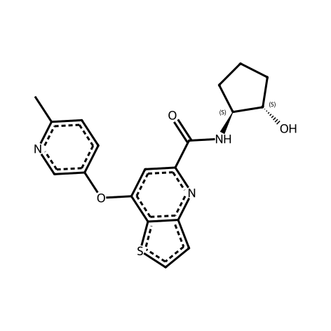 Cc1ccc(Oc2cc(C(=O)N[C@H]3CCC[C@@H]3O)nc3ccsc23)cn1